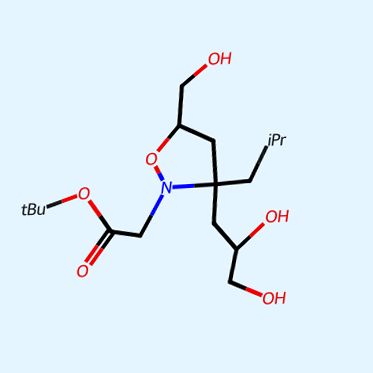 CC(C)CC1(CC(O)CO)CC(CO)ON1CC(=O)OC(C)(C)C